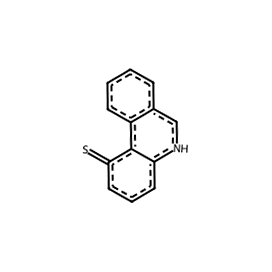 S=c1cccc2[nH]cc3ccccc3c1-2